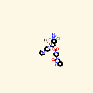 Cc1cc(C[C@@H](OC(=O)N2CCC(N3Cc4ccccc4NC3=O)CC2)C(=O)N2CCC(N3CCCC3)CC2)cc(Cl)c1N